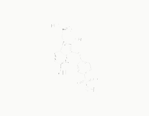 Cc1ccc2c(n1)c(Sc1ccc(S(C)(=O)=O)cc1)c(C)n2CC(=O)O